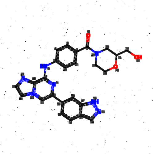 O=C(c1ccc(Nc2nc(-c3ccc4cn[nH]c4c3)cn3ccnc23)cc1)N1CCOC(CO)C1